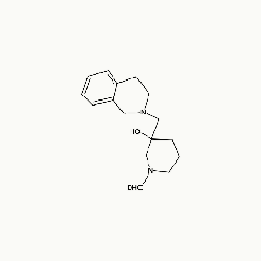 O=CN1CCCC(O)(CN2CCc3ccccc3C2)C1